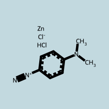 CN(C)c1ccc([N+]#N)cc1.Cl.[Cl-].[Zn]